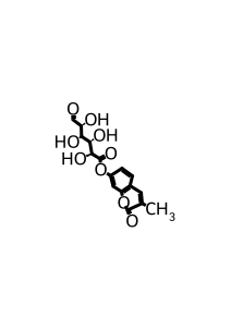 Cc1cc2ccc(OC(=O)[C@@H](O)[C@@H](O)[C@H](O)[C@@H](O)C=O)cc2oc1=O